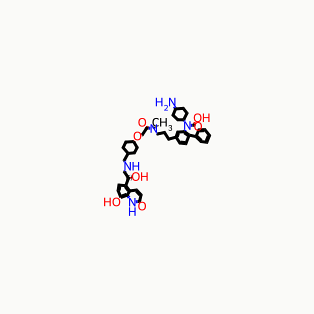 CN(CCCc1ccc(-c2ccccc2)c(N(C(=O)O)C2CCC(N)CC2)c1)C(=O)COC1CCC(CNC[C@@H](O)c2ccc(O)c3[nH]c(=O)ccc23)CC1